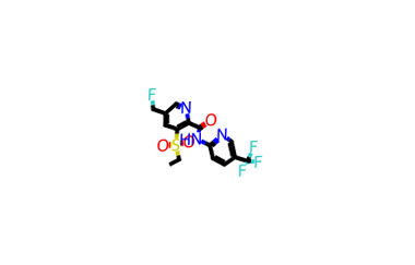 CCS(=O)(=O)c1cc(CF)cnc1C(=O)Nc1ccc(C(F)(F)F)cn1